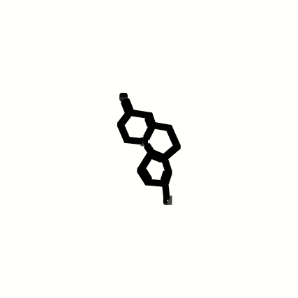 O=C1C=C2CCc3cc(Cl)ccc3N2CC1